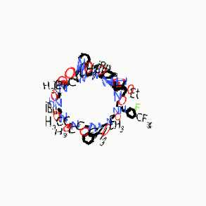 CCO[C@H]1C[C@H]2C(=O)NC3(CCCC3)C(=O)N(C)[C@@H](CC(C)C)C(=O)N(C)[C@H](C(=O)N3CCCCC3)CC(=O)N(C)[C@@H](CC(C)C)C(=O)N[C@@H]([C@@H](C)CC)C(=O)N(C)CC(=O)N(C)CC(=O)N(C)[C@@H](CC3CCCCC3)C(=O)N(C)CC(=O)N[C@@H](CCc3ccc(C(F)(F)F)c(F)c3)C(=O)N2C1